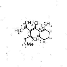 C=C(C)/C(C(=C)CNC)=C(\C)C1=C(C)CCCC1